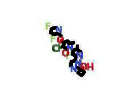 Cc1cnc(-c2ccnc(C3(O)CCC3)n2)c(F)c1-n1c(C)cc(OCc2ncc(F)cc2F)c(Cl)c1=O